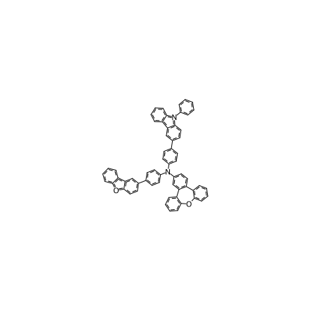 c1ccc(-n2c3ccccc3c3cc(-c4ccc(N(c5ccc(-c6ccc7oc8ccccc8c7c6)cc5)c5ccc6c(c5)-c5ccccc5Oc5ccccc5-6)cc4)ccc32)cc1